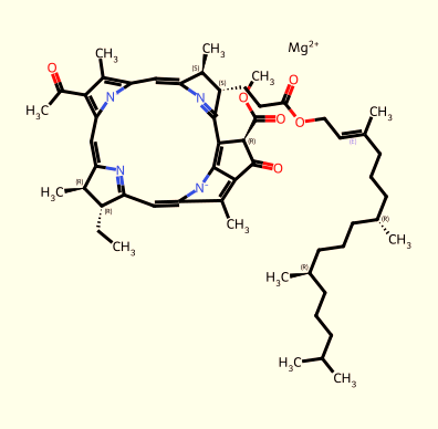 CC[C@H]1c2cc3[n-]c4c(c3C)C(=O)[C@H](C(=O)OC)c4c3nc(cc4[n-]c(cc(n2)[C@@H]1C)c(C(C)=O)c4C)[C@@H](C)[C@@H]3CCC(=O)OC/C=C(\C)CCC[C@H](C)CCC[C@H](C)CCCC(C)C.[Mg+2]